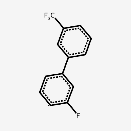 Fc1[c]ccc(-c2cccc(C(F)(F)F)c2)c1